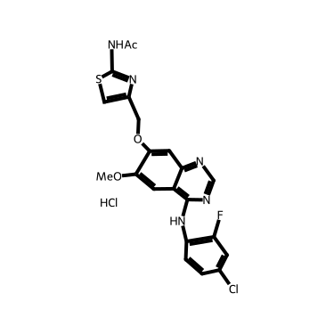 COc1cc2c(Nc3ccc(Cl)cc3F)ncnc2cc1OCc1csc(NC(C)=O)n1.Cl